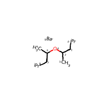 CC(C)CC(C)OC(C)CC(C)C.[Ba]